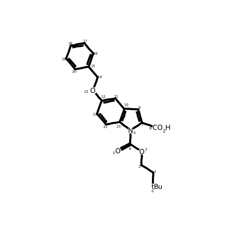 CC(C)(C)CCOC(=O)n1c(C(=O)O)cc2cc(OCc3ccccc3)ccc21